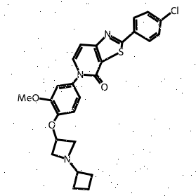 COc1cc(-n2ccc3nc(-c4ccc(Cl)cc4)sc3c2=O)ccc1OC1CN(C2CCC2)C1